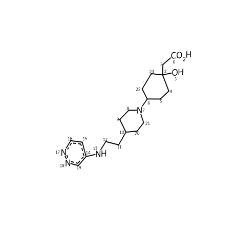 O=C(O)CC1(O)CCC(N2CCC(CCNc3ccnnc3)CC2)CC1